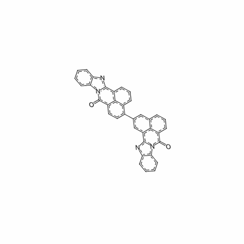 O=c1c2cccc3cc(-c4ccc5c(=O)n6c7ccccc7nc6c6cccc4c56)cc(c32)c2nc3ccccc3n12